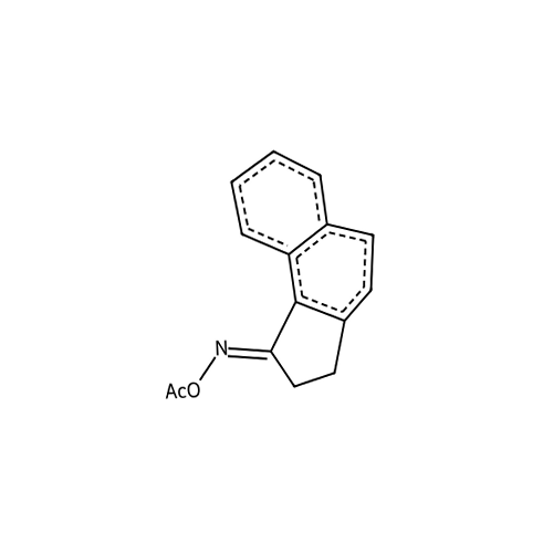 CC(=O)O/N=C1\CCc2ccc3ccccc3c21